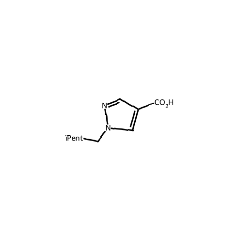 CCCC(C)Cn1cc(C(=O)O)cn1